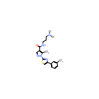 CCN(CC)CCCNC(=O)c1cnn(-c2nc(-c3cccc(C(F)(F)F)c3)cs2)c1C(F)(F)F